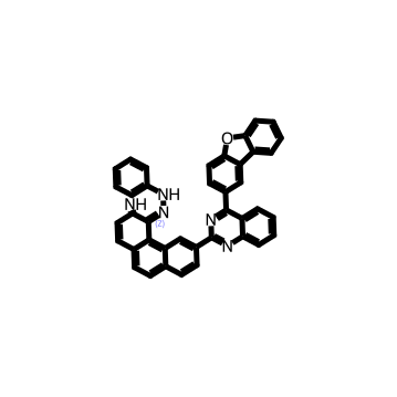 N=C1C=Cc2ccc3ccc(-c4nc(-c5ccc6oc7ccccc7c6c5)c5ccccc5n4)cc3c2/C1=N/Nc1ccccc1